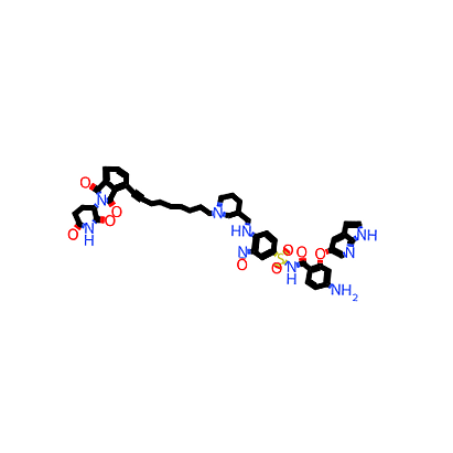 Nc1ccc(C(=O)NS(=O)(=O)c2ccc(NCC3CCCN(CCCCCCCC#Cc4cccc5c4C(=O)N(C4CCC(=O)NC4=O)C5=O)C3)c(N=O)c2)c(Oc2cnc3[nH]ccc3c2)c1